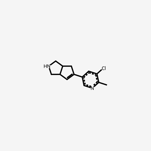 Cc1ncc(C2=CC3CNCC3C2)cc1Cl